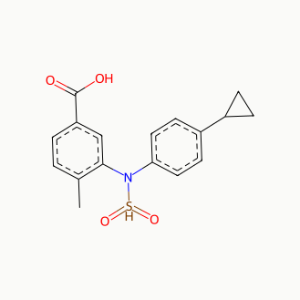 Cc1ccc(C(=O)O)cc1N(c1ccc(C2CC2)cc1)[SH](=O)=O